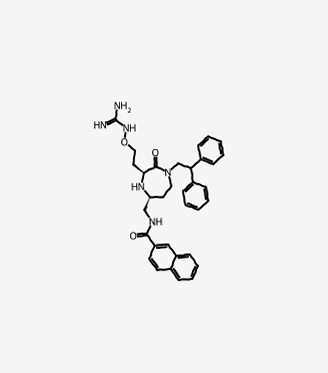 N=C(N)NOCC[C@@H]1N[C@H](CNC(=O)c2ccc3ccccc3c2)CCN(CC(c2ccccc2)c2ccccc2)C1=O